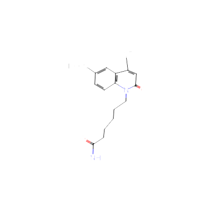 NC(=O)CCCCCn1c(=O)cc(C(F)(F)F)c2cc(S(=O)(=O)O)ccc21